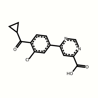 O=C(O)c1cc(-c2ccc(C(=O)C3CC3)c(Cl)c2)ncn1